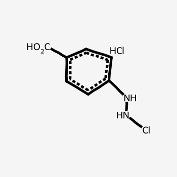 Cl.O=C(O)c1ccc(NNCl)cc1